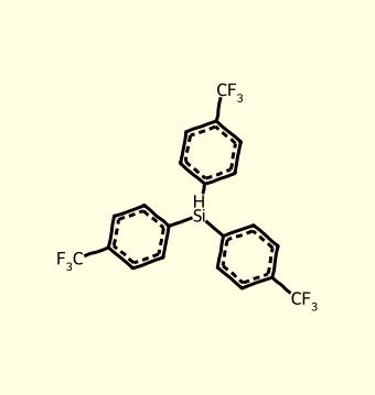 FC(F)(F)c1ccc([SiH](c2ccc(C(F)(F)F)cc2)c2ccc(C(F)(F)F)cc2)cc1